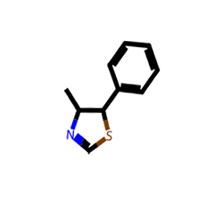 CC1N=[C]SC1c1ccccc1